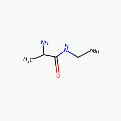 CCCCCNC(=O)C(C)[NH]